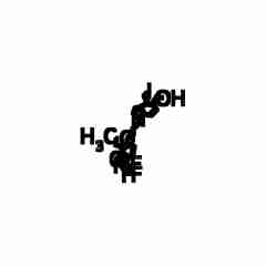 CCCc1c(OCCCn2ccc3c(CI)c(CO)ccc32)ccc2c(C(F)(F)F)noc12